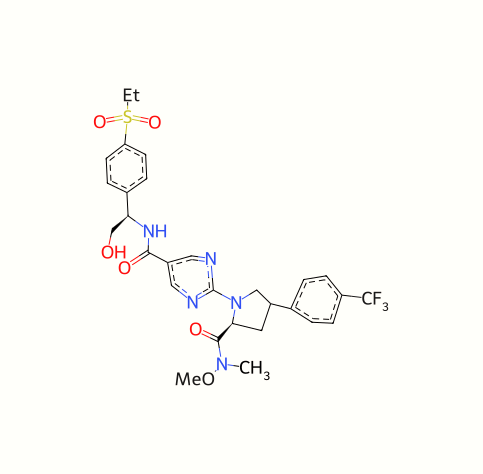 CCS(=O)(=O)c1ccc([C@H](CO)NC(=O)c2cnc(N3CC(c4ccc(C(F)(F)F)cc4)C[C@H]3C(=O)N(C)OC)nc2)cc1